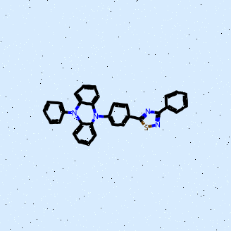 c1ccc(-c2nsc(-c3ccc(N4c5ccccc5N(c5ccccc5)c5ccccc54)cc3)n2)cc1